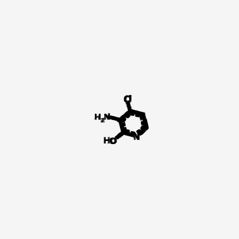 Nc1c(Cl)ccnc1O